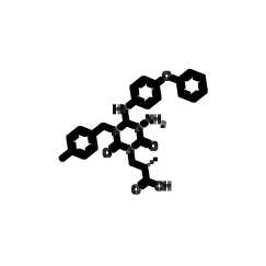 Cc1ccc(CN2C(=O)N(C[C@H](C)C(=O)O)C(=O)N(N)C2Nc2ccc(Oc3ccccc3)cc2)cc1